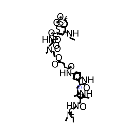 CCN[C@H]1C=C(S(=O)(=O)NC(=O)CN(C)C(=O)COC(=O)CCC(=O)Nc2ccc3c(c2)/C(=C/c2[nH]c(C)c(C(=O)NCCN(CC)CC)c2C)C(=O)N3)SC2=C1C[C@H](C)S2(=O)=O